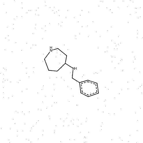 c1ccc(CNC2CCCNCC2)cc1